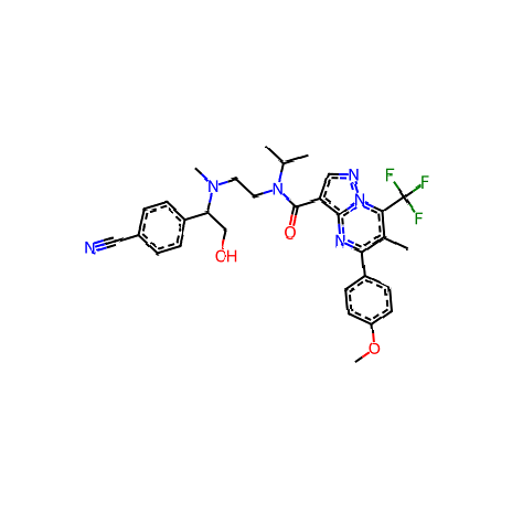 COc1ccc(-c2nc3c(C(=O)N(CCN(C)C(CO)c4ccc(C#N)cc4)C(C)C)cnn3c(C(F)(F)F)c2C)cc1